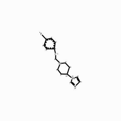 Fc1ccc(CCN2CCC([SH]3C=CN=C3)CC2)cc1